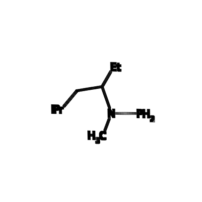 CCC(CC(C)C)N(C)P